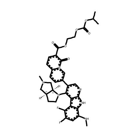 CNc1cc(F)c(F)c2c1[nH]c1ncc(-c3ccc4ccc(C(=O)OCCOC(=O)OC(C)C)c(=O)n4c3)c(N3CC[C@H]4CN(C)C[C@H]43)c12